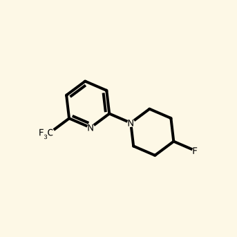 FC1CCN(c2cccc(C(F)(F)F)n2)CC1